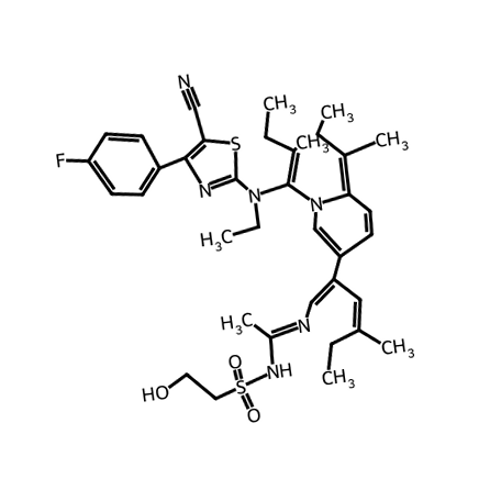 CC\C(C)=C/C(=C\N=C(/C)NS(=O)(=O)CCO)C1=CN(/C(=C(\C)CC)N(CC)c2nc(-c3ccc(F)cc3)c(C#N)s2)/C(=C(/C)CC)C=C1